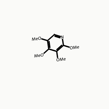 COc1[c]nc(OC)c(OC)c1OC